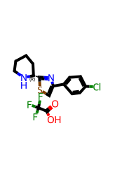 Clc1ccc(-c2csc([C@H]3CCCCN3)n2)cc1.O=C(O)C(F)(F)F